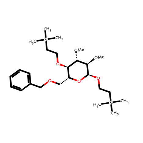 CO[C@@H]1[C@@H](OC)[C@@H](OCC[Si](C)(C)C)O[C@H](COCc2ccccc2)[C@H]1OCC[Si](C)(C)C